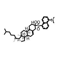 CC(C)CCC[C@@H](C)[C@H]1CC[C@H]2[C@@H]3CC=C4CC(O)(S(=O)(=O)c5cccc6c(N(C)C)cccc56)CC[C@]4(C)[C@H]3CC[C@]12C